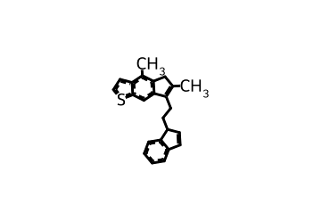 CC1=C(CCC2C=Cc3ccccc32)c2cc3sccc3c(C)c2C1